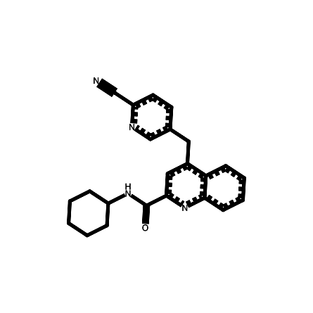 N#Cc1ccc(Cc2cc(C(=O)NC3CCCCC3)nc3ccccc23)cn1